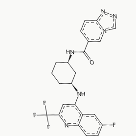 O=C(N[C@@H]1CCC[C@H](Nc2cc(C(F)(F)F)nc3ccc(F)cc23)C1)c1ccc2nncn2c1